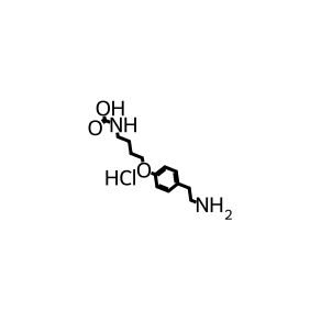 Cl.NCCc1ccc(OCCCCNC(=O)O)cc1